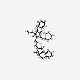 C=CCC1(C)C(/C=C/C=C2/N(C)c3ccc4ccccc4c3C2(C)C)=[N+](CC2CCCCC2)c2cc3ccccc3cc21